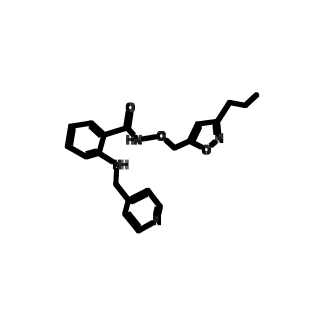 CCCc1cc(CONC(=O)c2ccccc2NCc2ccncc2)on1